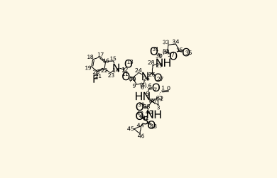 C=C[C@@H]1C[C@]1(NC(=O)[C@@H]1C[C@@H](OC(=O)N2Cc3cccc(F)c3C2)CN1C(=O)CNC(=O)[C@@H]1CCC(=O)O1)C(=O)NS(=O)(=O)C1CC1